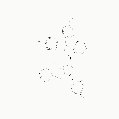 COc1ccc(C(OC[C@H]2O[C@@H](n3ccc(=O)[nH]c3=O)[C@H]([Te]c3ccccc3)[C@@H]2O)(c2ccccc2)c2ccc(OC)cc2)cc1